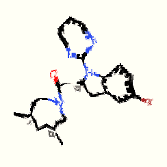 C[C@@H]1C[C@H](C)CN(C(=O)[C@@H]2Cc3cc(Br)ccc3N2c2ncccn2)C1